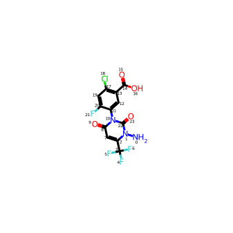 Nn1c(C(F)(F)F)cc(=O)n(-c2cc(C(=O)O)c(Cl)cc2F)c1=O